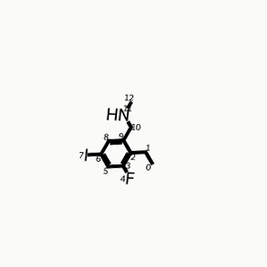 CCc1c(F)cc(I)cc1CNC